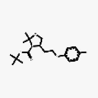 CC(C)(C)OC(=O)N1C(CCSc2ccc(F)cc2)COC1(C)C